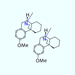 COc1ccc2c(c1)[C@@]13CCCCC1[C@@H](C2)N(C)CC3.COc1ccc2c(c1)[C@@]13CCCCC1[C@@H](C2)N(C)CC3